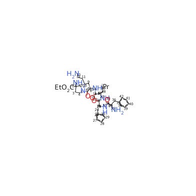 CCOC(=O)C1(N)CCN(C(=O)[C@@H](CCCCN)NC(=O)[C@@H](CC(C)C)NC(=O)[C@@H](Cc2ccccc2)NC(=O)[C@H](N)Cc2ccccc2)C1